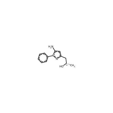 C[C@H](O)Cc1cc(N)n(-c2ccccc2)n1